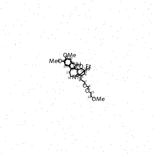 CCOC(=O)C12C[C@@H]3CC(CCOCOCCOC)C1N(CCc1c2[nH]c2cc(OC)c(OC)cc12)C3